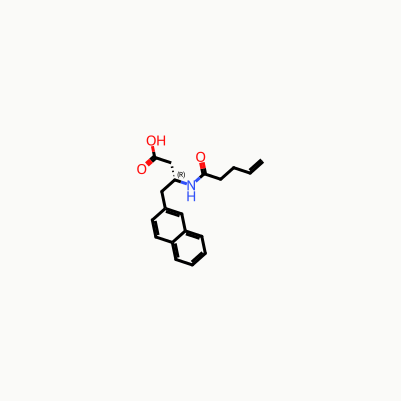 C=CCCC(=O)N[C@@H](CC(=O)O)Cc1ccc2ccccc2c1